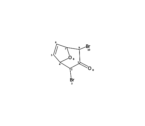 O=C1C(Br)C2C=CC(O2)C1Br